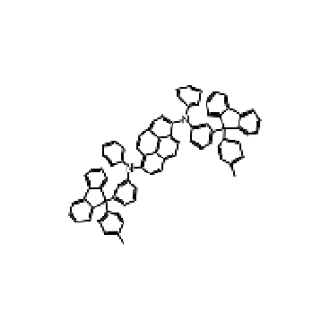 Cc1ccc(C2(c3cccc(N(c4ccccc4)c4ccc5ccc6c(N(c7ccccc7)c7cccc(C8(c9ccc(C)cc9)c9ccccc9-c9ccccc98)c7)ccc7ccc4c5c76)c3)c3ccccc3-c3ccccc32)cc1